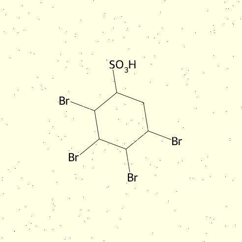 O=S(=O)(O)C1CC(Br)C(Br)C(Br)C1Br